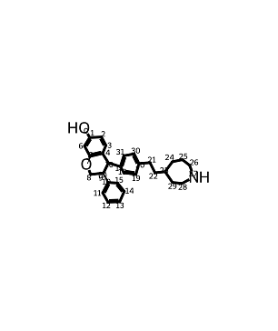 Oc1ccc2c(c1)OC[C@H](c1ccccc1)C2c1ccc(CCC2CCCNCC2)cc1